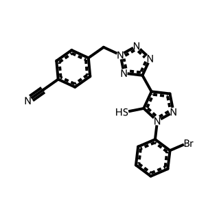 N#Cc1ccc(Cn2nnc(-c3cnn(-c4ccccc4Br)c3S)n2)cc1